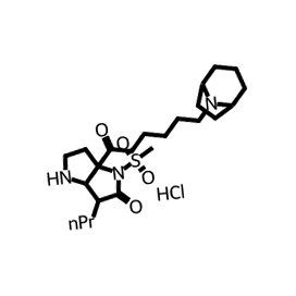 CCCC1C(=O)N(S(C)(=O)=O)C2(C(=O)CCCCCN3C4CCCC3CC4)CCNC12.Cl